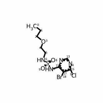 CCCOCCNS(=O)(=O)Nc1ncnc(Cl)c1Br